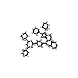 c1ccc(-c2nc3c4c(-c5ccc(-c6nc(-c7ccncc7)cc(-c7ccncc7)n6)cc5)nc5ccccc5c4ccc3n2-c2ccccc2)cc1